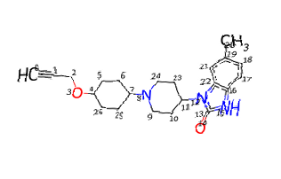 C#CCOC1CCC(N2CCC(n3c(=O)[nH]c4ccc(C)cc43)CC2)CC1